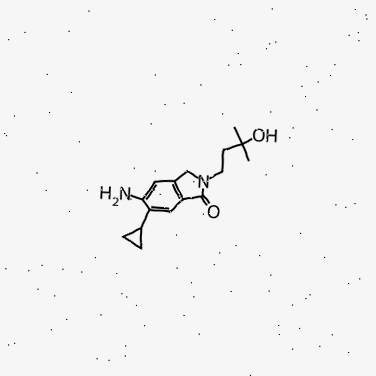 CC(C)(O)CCN1Cc2cc(N)c(C3CC3)cc2C1=O